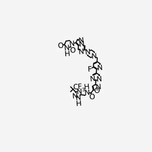 CC(C)(c1n[nH]c(CNC(=O)c2cc(-c3ncc(-c4ncc(CN5CCN(c6cn7ncc(N8CCC(=O)NC8=O)c7cn6)CC5)cc4F)cn3)no2)n1)C(F)(F)F